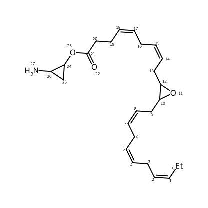 CC/C=C\C/C=C\C/C=C\CC1OC1C/C=C\C/C=C\CCC(=O)OC1CC1N